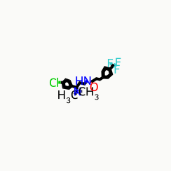 CN(C)C(CCNC(=O)CCc1ccc(C(F)(F)F)cc1)c1ccc(Cl)cc1